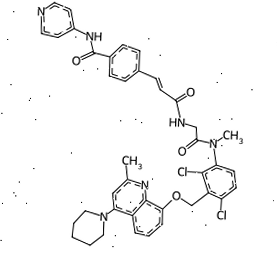 Cc1cc(N2CCCCC2)c2cccc(OCc3c(Cl)ccc(N(C)C(=O)CNC(=O)C=Cc4ccc(C(=O)Nc5ccncc5)cc4)c3Cl)c2n1